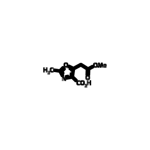 COC(=O)Cc1oc(C)nc1C(=O)O